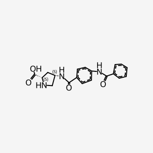 O=C(Nc1ccc(C(=O)N[C@@H]2CN[C@H](C(=O)O)C2)cc1)c1ccccc1